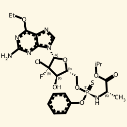 CCOc1nc(N)nc2c1ncn2[C@@H]1O[C@H](CO[P@@](=S)(N[C@@H](C)C(=O)OC(C)C)Oc2ccccc2)[C@@H](O)[C@@]1(F)Cl